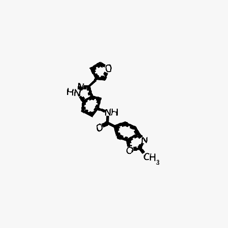 Cc1nc2ccc(C(=O)Nc3ccc4[nH]nc(-c5ccoc5)c4c3)cc2o1